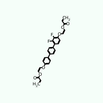 C=CC(=O)O/C=C\Oc1ccc(-c2ccc(-c3ccc(O/C=C\OC(=O)C=C)c(F)c3F)cc2)cc1